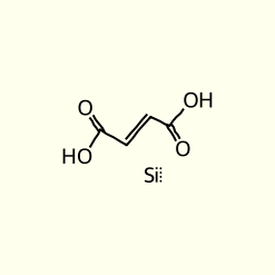 O=C(O)C=CC(=O)O.[Si]